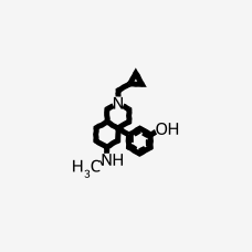 CNC1CCC2CN(CC3CC3)CCC2(c2cccc(O)c2)C1